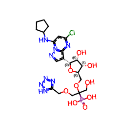 O=P(O)(O)C(CO)(COCc1nnn[nH]1)OC[C@H]1O[C@H](c2cnn3c(NC4CCCC4)cc(Cl)nc23)[C@H](O)[C@@H]1O